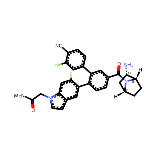 CNC(=O)Cn1ccc2cc(-c3ccc(C(=O)N4[C@@H]5CC[C@H]4[C@@H](N)C5)cc3-c3ccc(C#N)c(F)c3)c(F)cc21